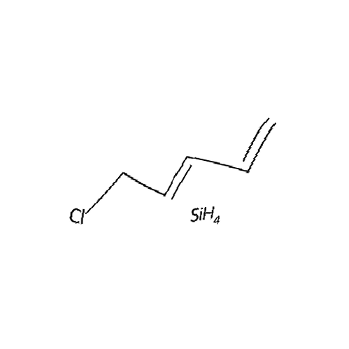 C=CC=CCCl.[SiH4]